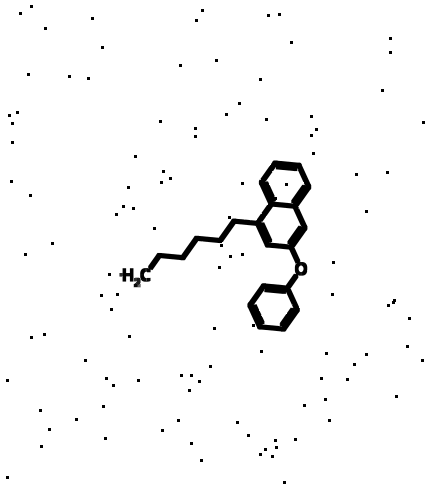 [CH2]CCCCCc1cc(Oc2ccccc2)cc2ccccc12